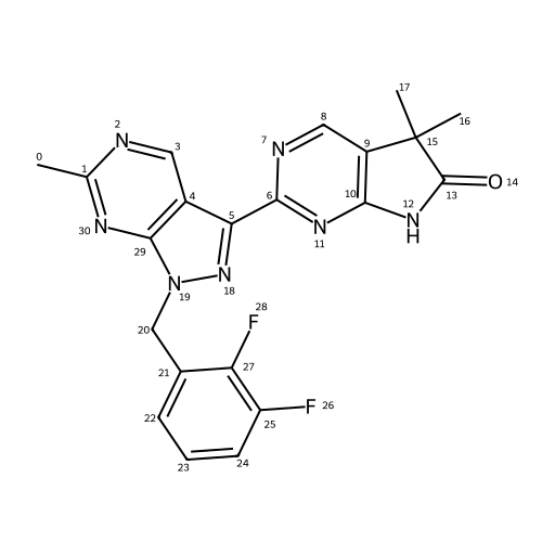 Cc1ncc2c(-c3ncc4c(n3)NC(=O)C4(C)C)nn(Cc3cccc(F)c3F)c2n1